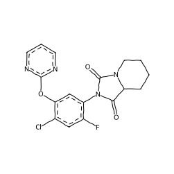 O=C1C2CCCCN2C(=O)N1c1cc(Oc2ncccn2)c(Cl)cc1F